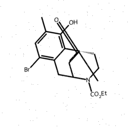 CCOC(=O)N1CC[C@@]23CC(=O)CCC2C1Cc1c(Br)cc(C)c(O)c13